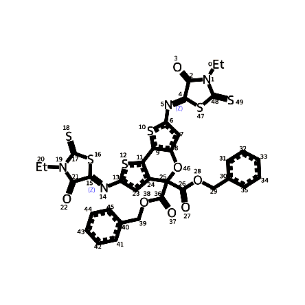 CCN1C(=O)/C(=N/c2cc3c(s2)-c2sc(/N=C4\SC(=S)N(CC)C4=O)cc2C(C(=O)OCc2ccccc2)(C(=O)OCc2ccccc2)O3)SC1=S